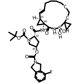 CC(C)(C)OC(=O)N1C[C@H](OC(=O)N2Cc3cccc(F)c3C2)C[C@H]1C(=O)N[C@]12C[C@H]1/C=C/CCCCCCCC1(CC1)S(O)(O)NC2=O